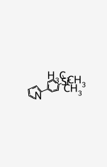 C[Si](C)(C)c1ccc(-c2ccccn2)cc1